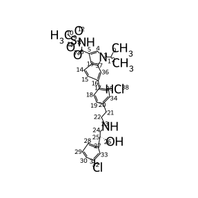 CC(C)n1cc(C(=O)NS(C)(=O)=O)c2ccc(-c3ccc(CCNC[C@H](O)c4cccc(Cl)c4)cc3)cc21.Cl